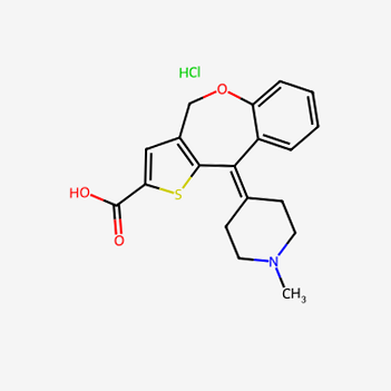 CN1CCC(=C2c3ccccc3OCc3cc(C(=O)O)sc32)CC1.Cl